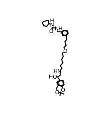 CC1(C)OCc2cc([C@H](O)CNCCCCCCOCCCCc3cccc(CNC(=O)NC4CCCCC4)c3)ccc2O1